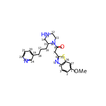 COc1ccc2nc(CC(=O)N3CCNCC3CCCc3cccnc3)sc2c1